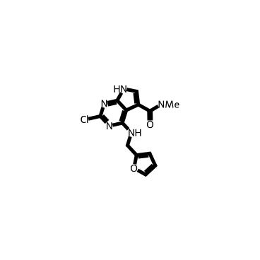 CNC(=O)c1c[nH]c2nc(Cl)nc(NCc3ccco3)c12